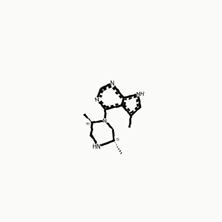 Cc1c[nH]c2ncnc(N3C[C@H](C)NC[C@H]3C)c12